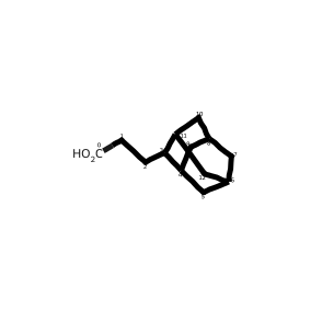 O=C(O)CCC1C2CC3CC(C2)CC1C3